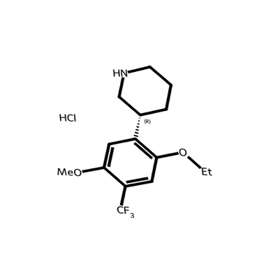 CCOc1cc(C(F)(F)F)c(OC)cc1[C@H]1CCCNC1.Cl